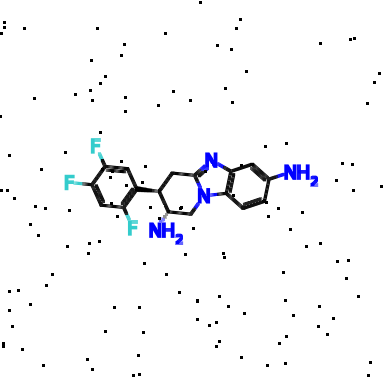 Nc1ccc2c(c1)nc1n2C[C@H](N)[C@@H](c2cc(F)c(F)cc2F)C1